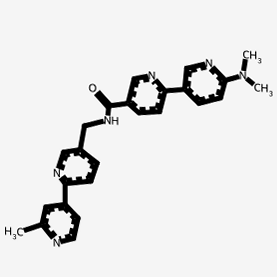 Cc1cc(-c2ccc(CNC(=O)c3ccc(-c4ccc(N(C)C)nc4)nc3)cn2)ccn1